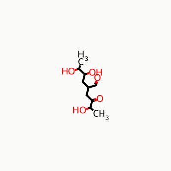 CC(O)C(=O)CC(C=O)CC(O)C(C)O